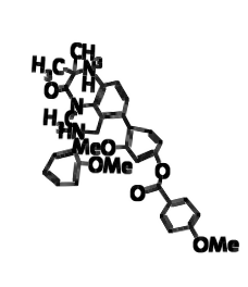 COc1ccc(C(=O)Oc2ccc(-c3ccc4c(c3CNc3ccccc3OC)N(C)C(=O)C(C)(C)N4)c(OC)c2)cc1